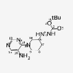 CC(C)(C)OC(=O)NNC1CCCN(c2ncncc2N)C1